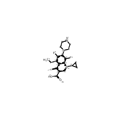 CCc1c(F)c(N2CCNCC2)c(F)c2c1c(=O)c(C(=O)O)cn2C1CC1